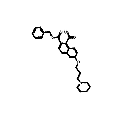 NC(=O)c1c(C(=O)OCc2ccccc2)ccc2cc(OCCCN3CCCCC3)ccc12